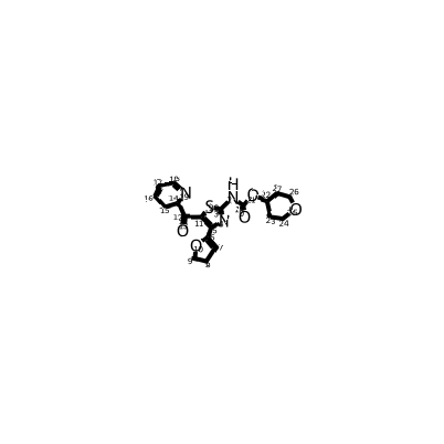 O=C(Nc1nc(C2=CCCO2)c(C(=O)C2CC=CC=N2)s1)OC1CCOCC1